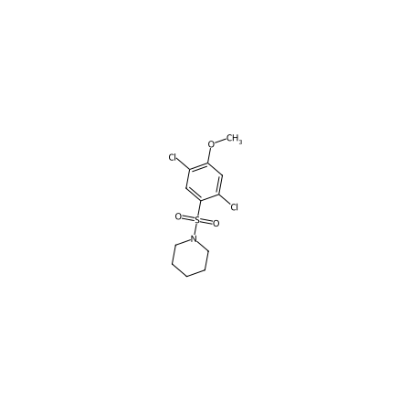 COc1cc(Cl)c(S(=O)(=O)N2CCCCC2)cc1Cl